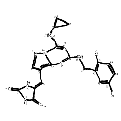 O=C1NC(=O)/C(=C/c2cnn3c(NC4CC4)nc(NCc4cc(F)ccc4Cl)nc23)N1